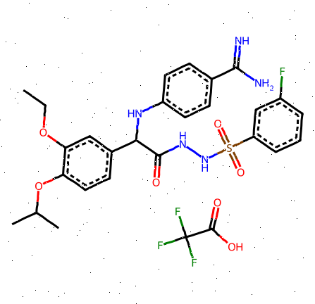 CCOc1cc(C(Nc2ccc(C(=N)N)cc2)C(=O)NNS(=O)(=O)c2cccc(F)c2)ccc1OC(C)C.O=C(O)C(F)(F)F